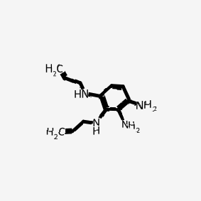 C=CCNc1ccc(N)c(N)c1NCC=C